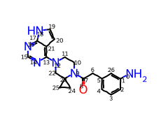 Nc1cccc(CC(=O)N2CCN(c3ncnc4[nH]ccc34)CC23CC3)c1